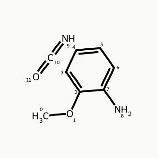 COc1ccccc1N.N=C=O